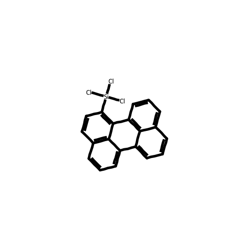 Cl[Si](Cl)(Cl)c1ccc2cccc3c4cccc5cccc(c1c23)c54